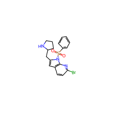 O=S(=O)(c1ccccc1)n1c(CC2CCCN2)cc2ccc(Br)nc21